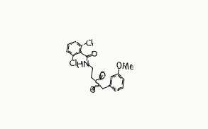 COc1cccc(CS(=O)(=O)CCNC(=O)c2c(Cl)cccc2Cl)c1